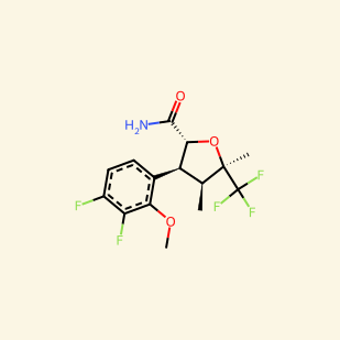 COc1c([C@H]2[C@H](C(N)=O)O[C@@](C)(C(F)(F)F)[C@H]2C)ccc(F)c1F